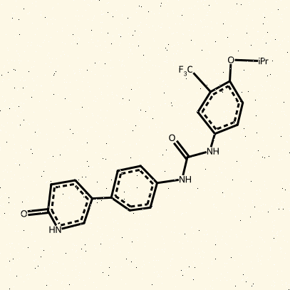 CC(C)Oc1ccc(NC(=O)Nc2ccc(-c3ccc(=O)[nH]c3)cc2)cc1C(F)(F)F